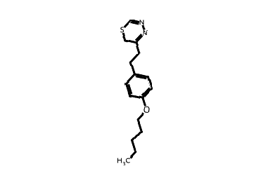 CCCCCOc1ccc(CCC2=NN=CSC2)cc1